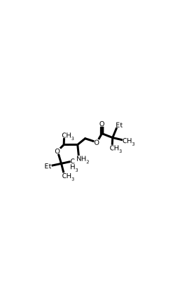 CCC(C)(C)OC(C)C(N)COC(=O)C(C)(C)CC